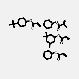 C=C(C)C(=O)OC1CCCCC1.C=CC(=O)OC1CC(C)CC(C)(C)C1.C=CC(=O)OC1CCC(C(C)(C)C)CC1.C=CC(=O)OC1CCCCC1